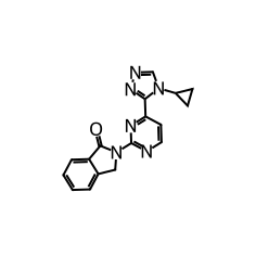 O=C1c2ccccc2CN1c1nccc(-c2nncn2C2CC2)n1